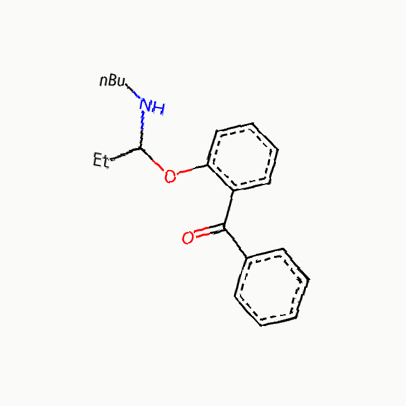 CCCCNC(CC)Oc1ccccc1C(=O)c1ccccc1